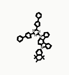 CC1CC(C)(C)c2cc(-n3c4ccccc4c4c5c6ccccc6n(-c6nc(-c7ccc(-c8ccccc8)cc7)nc(-c7ccc(-c8ccccc8)cc7)n6)c5ccc43)ccc2C1(C)C